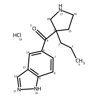 CCCC1(C(=O)c2ccc3[nH]ncc3c2)CCNC1.Cl